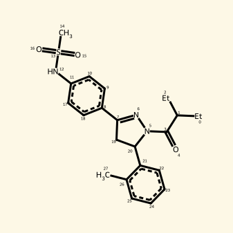 CCC(CC)C(=O)N1N=C(c2ccc(NS(C)(=O)=O)cc2)CC1c1ccccc1C